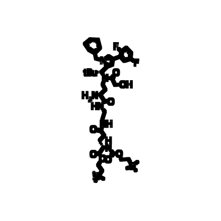 CC(C)(C)[C@H](c1cc(-c2cc(F)ccc2F)cn1Cc1ccccc1)N(CC[C@H](N)C(=O)NCCNC(=O)CC[C@H](NC(=O)OCC[Si](C)(C)C)C(=O)OCC[Si](C)(C)C)C(=O)CO